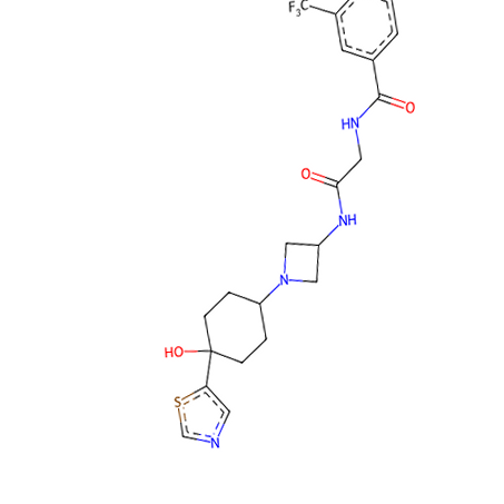 O=C(CNC(=O)c1cccc(C(F)(F)F)c1)NC1CN(C2CCC(O)(c3cncs3)CC2)C1